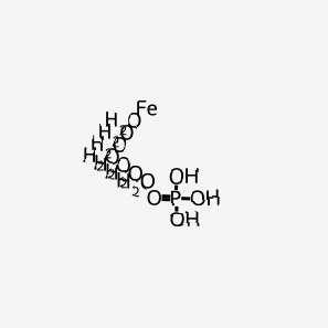 O.O.O.O.O.O.O.O=P(O)(O)O.[Fe]